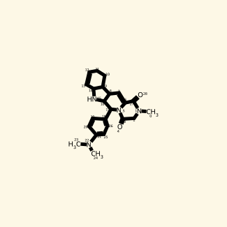 CN1CC(=O)N2C(=CC3C4CCC=CC4NC3C2c2ccc(N(C)C)cc2)C1=O